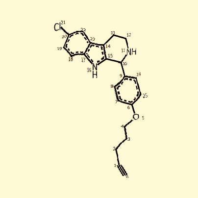 C#CCCCOc1ccc(C2NCCc3c2[nH]c2ccc(Cl)cc32)cc1